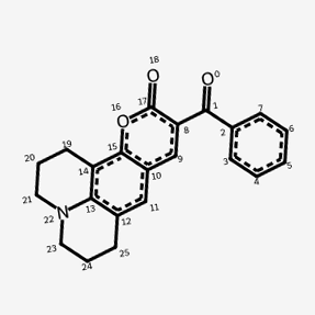 O=C(c1ccccc1)c1cc2cc3c4c(c2oc1=O)CCCN4CCC3